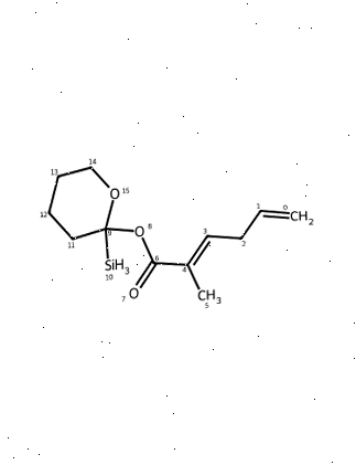 C=CCC=C(C)C(=O)OC1([SiH3])CCCCO1